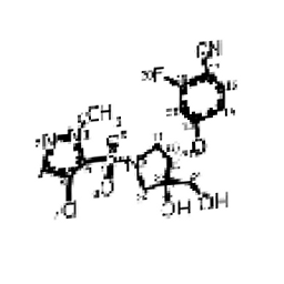 Cn1ncc(Cl)c1S(=O)(=O)N1C[C@H](Oc2ccc(C#N)c(F)c2)[C@](O)(CO)C1